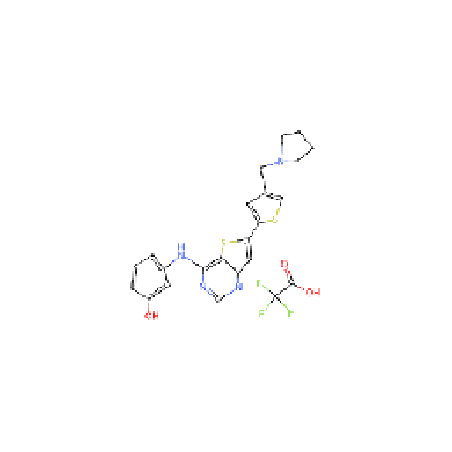 O=C(O)C(F)(F)F.Oc1cccc(Nc2ncnc3cc(-c4cc(CN5CCCC5)cs4)sc23)c1